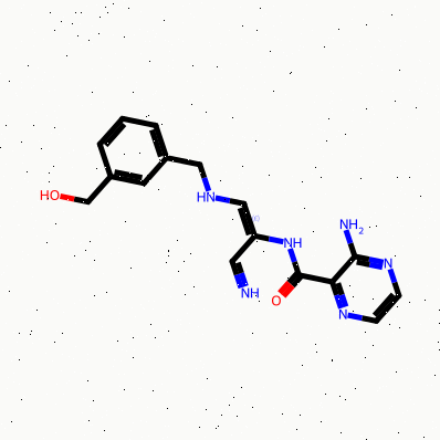 N=C/C(=C\NCc1cccc(CO)c1)NC(=O)c1nccnc1N